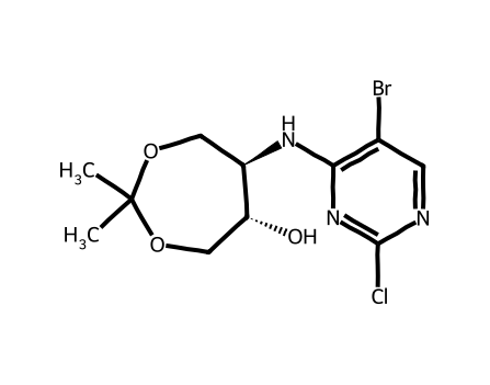 CC1(C)OC[C@@H](O)[C@H](Nc2nc(Cl)ncc2Br)CO1